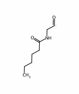 CCCCCC(=O)NC[C]=O